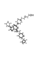 OCCOCCN1CCN(c2nc(NCc3ccc(-c4ccoc4)nc3)c3ncn(C4CCCC4)c3n2)CC1